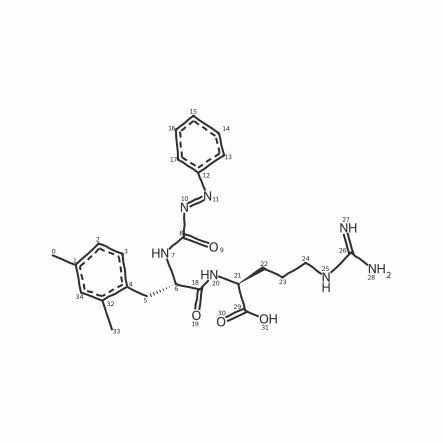 Cc1ccc(C[C@H](NC(=O)N=Nc2ccccc2)C(=O)N[C@@H](CCCNC(=N)N)C(=O)O)c(C)c1